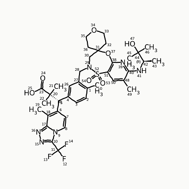 Cc1ccc([C@H](c2ccn3c(C(F)(F)F)nnc3c2C)C(C)(C)C(=O)O)cc1CN1CC2(CCOCC2)Oc2nc(N[C@H](C)C(C)(C)O)c(C)cc2S1(=O)=O